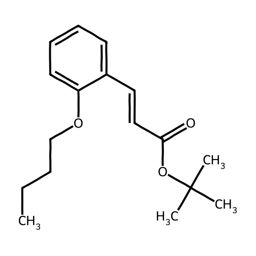 CCCCOc1ccccc1C=CC(=O)OC(C)(C)C